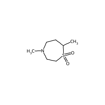 CC1CCN(C)CCS1(=O)=O